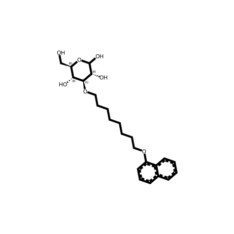 OC[C@H]1OC(O)[C@H](O)[C@@H](OCCCCCCCCOc2cccc3ccccc23)[C@@H]1O